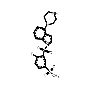 CS(=O)(=O)c1ccc(F)c(S(=O)(=O)n2ccc3c(N4CCNCC4)cccc32)c1